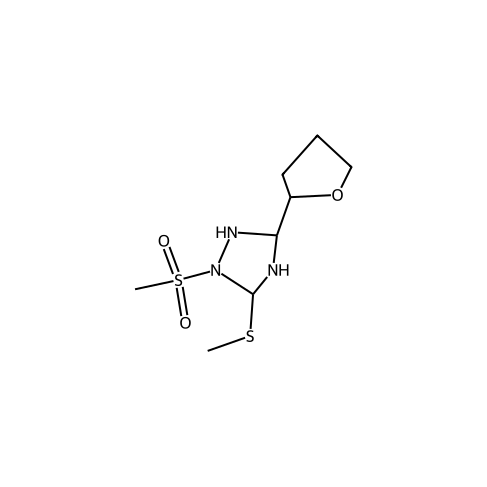 CSC1NC(C2CCCO2)NN1S(C)(=O)=O